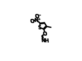 Cc1cc([N+](=O)[O-])sc1OC=N